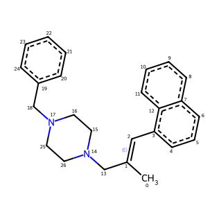 C/C(=C\c1cccc2ccccc12)CN1CCN(Cc2ccccc2)CC1